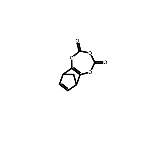 O=C1OC(=O)OC2=C(O1)C1C=CC2C1